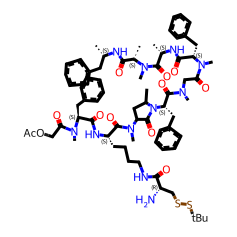 CC(=O)OCC(=O)N(C)[C@@H](Cc1ccccc1)C(=O)N[C@@H](CCCCNC(=O)[C@@H](N)CSSC(C)(C)C)C(=O)N(C)C1CC(C)N([C@@H](Cc2ccccc2)C(=O)N(C)CC(=O)N(C)[C@@H](Cc2ccccc2)C(=O)N[C@@H](C)C(=O)N(C)[C@@H](C)C(=O)N[C@@H](C)Cc2ccccc2)C1=O